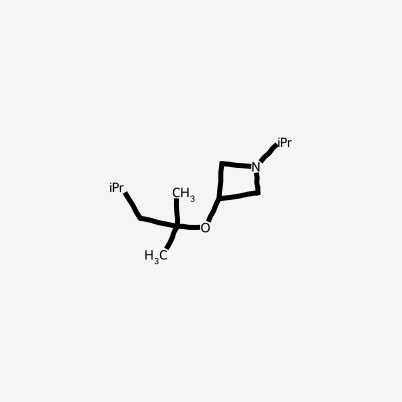 CC(C)CC(C)(C)OC1CN(C(C)C)C1